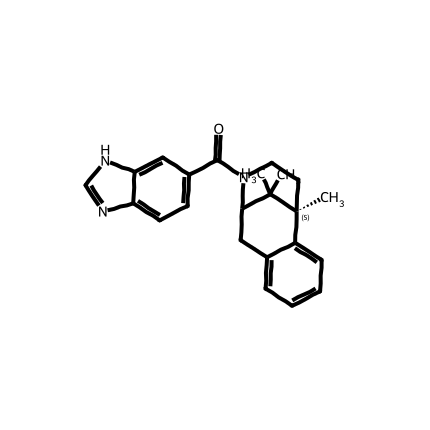 CC1(C)C2Cc3ccccc3[C@]1(C)CCN2C(=O)c1ccc2nc[nH]c2c1